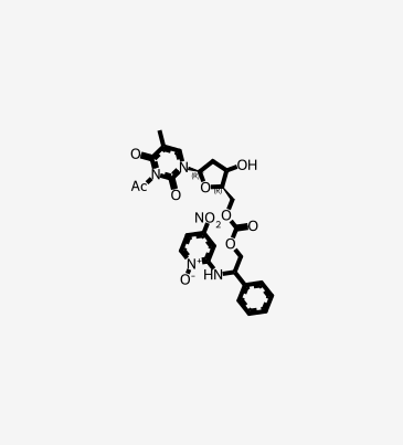 CC(=O)n1c(=O)c(C)cn([C@H]2CC(O)[C@@H](COC(=O)OCC(Nc3cc([N+](=O)[O-])cc[n+]3[O-])c3ccccc3)O2)c1=O